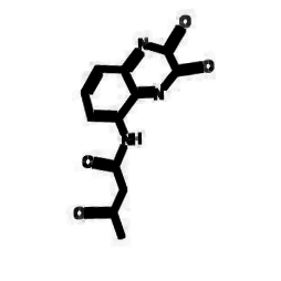 CC(=O)CC(=O)Nc1cccc2c1=NC(=O)C(=O)N=2